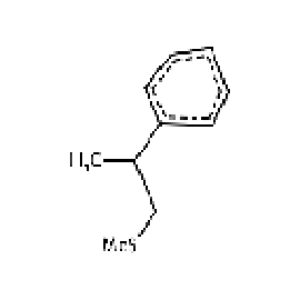 CSCC(C)c1ccccc1